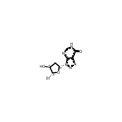 CC[C@H]1O[C@@H](n2nnc3c(=O)[nH]cnc32)C[C@@H]1O